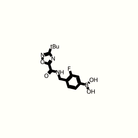 CC(C)(C)c1noc(C(=O)NCc2ccc(B(O)O)cc2F)n1